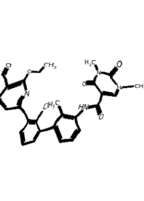 CCOc1nc(-c2cccc(-c3cccc(NC(=O)c4cn(C)c(=O)n(C)c4=O)c3C)c2Cl)ccc1C=O